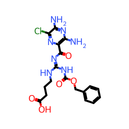 Nc1nc(N)c(C(=O)/N=C(/NCCCC(=O)O)NC(=O)OCc2ccccc2)nc1Cl